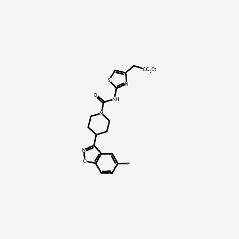 CCOC(=O)Cc1csc(NC(=O)N2CCC(c3noc4ccc(F)cc34)CC2)n1